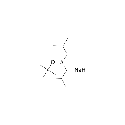 CC(C)[CH2][Al]([CH2]C(C)C)[O]C(C)(C)C.[NaH]